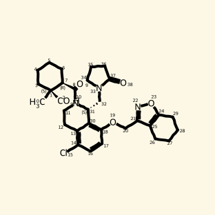 C[C@]1(C(=O)O)CCCC[C@H]1C(=O)N1CCc2c(Cl)ccc(OCc3noc4c3CCCC4)c2[C@H]1CN1CCCC1=O